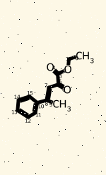 CCOC(=O)C(=O)C=C(C)c1ccccc1